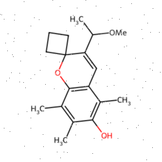 COC(C)C1=Cc2c(C)c(O)c(C)c(C)c2OC12CCC2